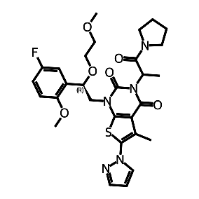 COCCO[C@@H](Cn1c(=O)n(C(C)C(=O)N2CCCC2)c(=O)c2c(C)c(-n3cccn3)sc21)c1cc(F)ccc1OC